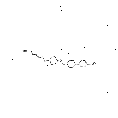 N#CC=CC=CCC[C@H]1CC[C@H](OC[C@H]2CC[C@H](c3ccc(C#N)cc3)CC2)CC1